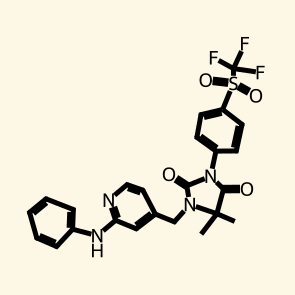 CC1(C)C(=O)N(c2ccc(S(=O)(=O)C(F)(F)F)cc2)C(=O)N1Cc1ccnc(Nc2ccccc2)c1